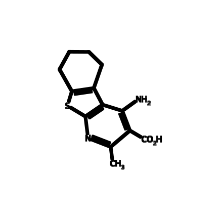 Cc1nc2sc3c(c2c(N)c1C(=O)O)CCCC3